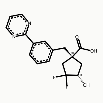 O=C(O)[C@]1(Cc2cccc(-c3ncccn3)c2)C[C@H](O)C(F)(F)C1